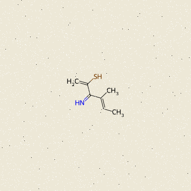 C=C(S)C(=N)/C(C)=C/C